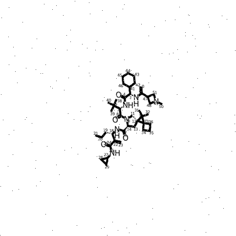 C=C(N[C@H](C(=O)N[C@H](C(=O)N1C[C@]2(C[C@H]1C(=O)N[C@@H](CCC)C(=C)C(=O)NC1CC1)C(C)(C)C21CCC1)C(C)(C)C)C1CCCCC1)C1CN(C)C1